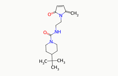 C=C1C=CC(=O)N1CCNC(=O)N1CCC(C(C)(C)C)CC1